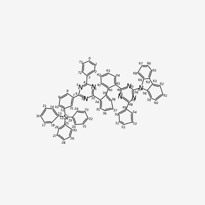 c1ccc(-c2nc(-c3cccc([Si](c4ccccc4)(c4ccccc4)c4ccccc4)c3)nc(-c3ccccc3-c3ccccc3-c3nc(-c4ccccc4)nc(-n4c5ccccc5c5ccccc54)n3)n2)cc1